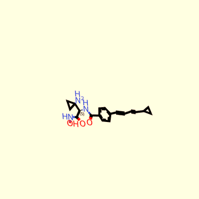 NC1([C@H](NC(=O)c2ccc(C#CC#CC3CC3)cc2)C(=O)NO)CC1